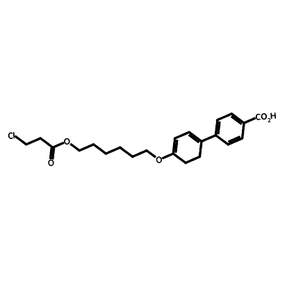 O=C(CCCl)OCCCCCCOC1=CC=C(c2ccc(C(=O)O)cc2)CC1